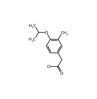 Cc1cc(CC(=O)Cl)ccc1OC(C)C